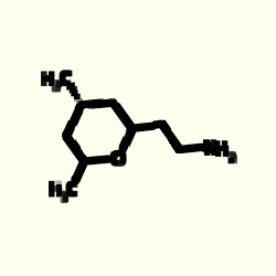 CC1C[C@H](C)CC(CCN)O1